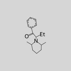 CCC(C(=O)c1ccccc1)N1C(C)CCCC1C